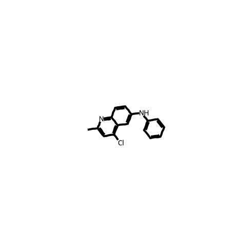 Cc1cc(Cl)c2cc(Nc3ccccc3)ccc2n1